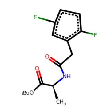 CC(C)COC(=O)[C@H](C)NC(=O)Cc1cc(F)ccc1F